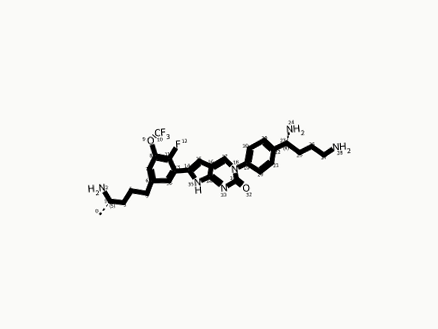 C[C@H](N)CCCc1cc(OC(F)(F)F)c(F)c(-c2cc3cn(-c4ccc([C@H](N)CCCN)cc4)c(=O)nc3[nH]2)c1